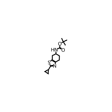 CC(C)(C)OC(=O)NC1CCc2nc(C3CC3)sc2C1